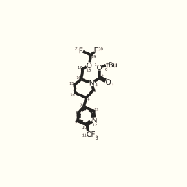 CC(C)(C)OC(=O)N1CC(c2ccc(C(F)(F)F)nc2)CCC1COC(F)F